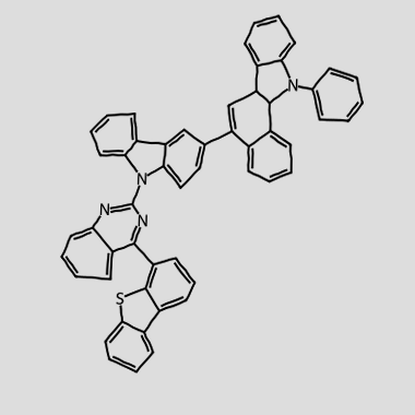 C1=C(c2ccc3c(c2)c2ccccc2n3-c2nc(-c3cccc4c3sc3ccccc34)c3ccccc3n2)c2ccccc2C2C1c1ccccc1N2c1ccccc1